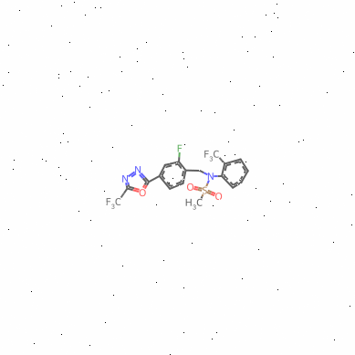 CS(=O)(=O)N(Cc1ccc(-c2nnc(C(F)(F)F)o2)cc1F)c1ccccc1C(F)(F)F